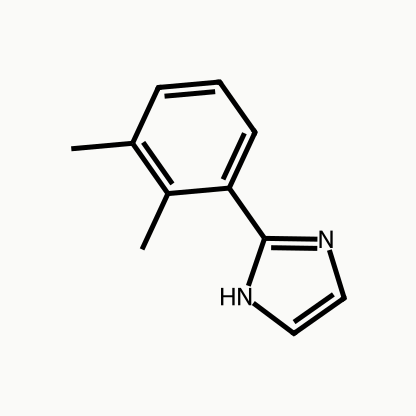 Cc1cccc(-c2ncc[nH]2)c1C